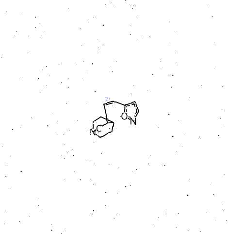 C(=C/C1CN2CCC1CC2)/c1ccno1